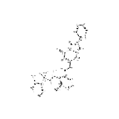 O=C(NC1(c2ccccc2Cl)CC1)c1c(Cl)cccc1OCc1cc(=O)n2nc(-c3ccccc3)nc2[nH]1